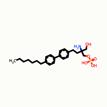 CCCCCCCc1ccc(-c2ccc(CCC(N)(CO)COP(=O)(O)O)cc2)cc1